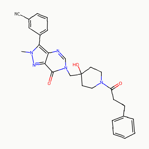 Cn1nc2c(=O)n(CC3(O)CCN(C(=O)CCc4ccccc4)CC3)cnc2c1-c1cccc(C#N)c1